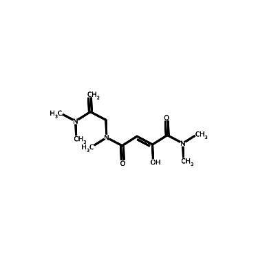 C=C(CN(C)C(=O)/C=C(\O)C(=O)N(C)C)N(C)C